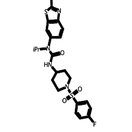 CC(C)N(C(=O)NC1CCN(S(=O)(=O)c2ccc(F)cc2)CC1)c1ccc2nc(S)sc2c1